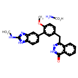 NC(=O)O.O=C(O)Nc1nc2cc(-c3cc(Cc4n[nH]c(=O)c5ccccc45)ccc3OC(F)(F)F)ccc2[nH]1